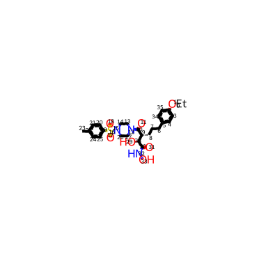 CCOc1ccc(CCC[C@@H](C(=O)N2CCN(S(=O)(=O)c3ccc(C)cc3)CC2)[C@H](O)C(=O)NO)cc1